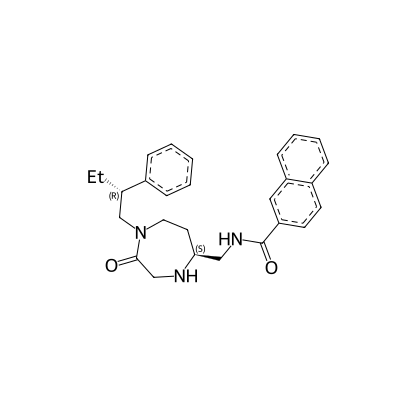 CC[C@@H](CN1CC[C@@H](CNC(=O)c2ccc3ccccc3c2)NCC1=O)c1ccccc1